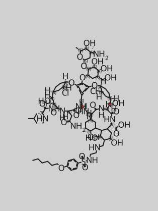 CCCCCCOc1ccc(S(=O)(=O)NCCNCC2[C@H](O)C3C4C[C@H](CC[C@H]4O)[C@H]4NC(=O)[C@@H]5NC(=O)[C@H](CC(N)=O)NC(=O)[C@H](NC(=O)[C@@H](CC(C)C)NC)[C@H](O)[C@H]6CC[C@@H](Oc7cc5cc(c7O[C@@H]5C[C@H](CO)[C@@H](O)[C@H](O)[C@H]5O[C@H]5C[C@](C)(N)[C@H](O)[C@H](C)O5)O[C@@H]5CC[C@@H](C[C@@H]5Cl)[C@@H](O)[C@H](NC4=O)C(=O)N[C@H](C(=O)O)C3C[C@@H]2O)[C@H](Cl)C6)cc1